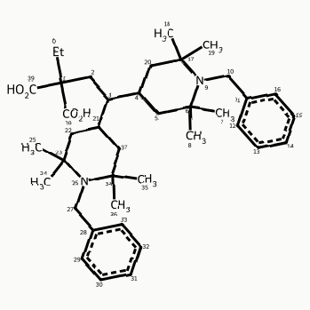 CCC(CC(C1CC(C)(C)N(Cc2ccccc2)C(C)(C)C1)C1CC(C)(C)N(Cc2ccccc2)C(C)(C)C1)(C(=O)O)C(=O)O